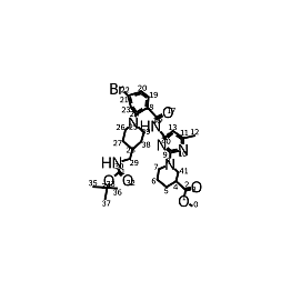 COC(=O)C1CCCN(c2nc(C)cc(NC(=O)c3ccc(Br)cc3N3CCC(CNC(=O)OC(C)(C)C)CC3)n2)C1